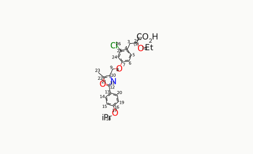 CCO[C@@H](Cc1ccc(OCc2nc(-c3ccc(OC(C)C)cc3)oc2C)cc1Cl)C(=O)O